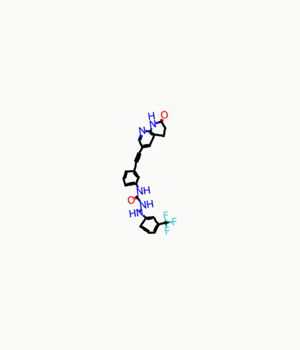 O=C1CCc2cc(C#Cc3cccc(NC(=O)NNc4cccc(C(F)(F)F)c4)c3)cnc2N1